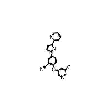 N#Cc1cc(-n2ccc(-c3ccccn3)n2)ccc1Oc1cncc(Cl)c1